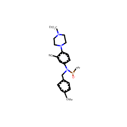 CCC[S+]([O-])N(Cc1ccc(OC)cc1)c1ccc(N2CCN(C(=O)OCC)CC2)c(C#N)c1